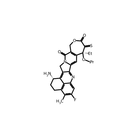 CC[C@@]1(OC(C)C)C(=S)C(=O)OCc2c1cc1n(c2=O)Cc2c-1nc1cc(F)c(C)c3c1c2[C@@H](N)CC3